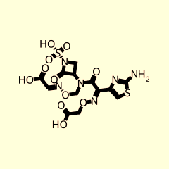 Nc1nc(C(=NOCC(=O)O)C(=O)N(CON=CC(=O)O)C2CN(S(=O)(=O)O)C2=O)cs1